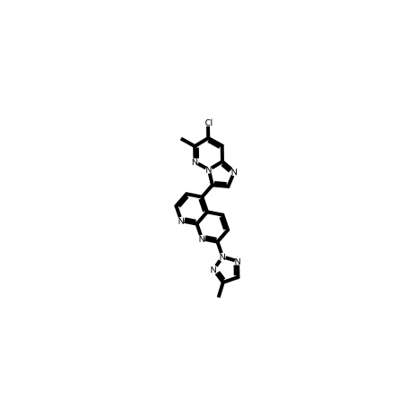 Cc1cnn(-c2ccc3c(-c4cnc5cc(Cl)c(C)nn45)ccnc3n2)n1